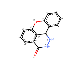 O=C1NNC2c3ccccc3Oc3cccc1c32